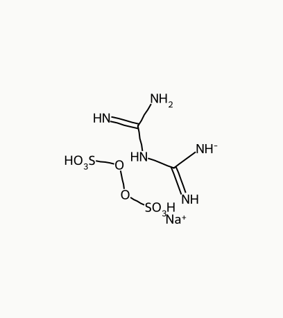 N=C([NH-])NC(=N)N.O=S(=O)(O)OOS(=O)(=O)O.[Na+]